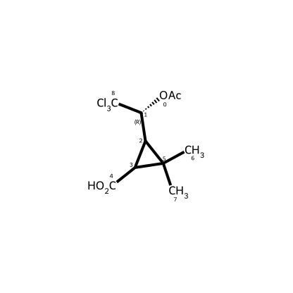 CC(=O)O[C@H](C1C(C(=O)O)C1(C)C)C(Cl)(Cl)Cl